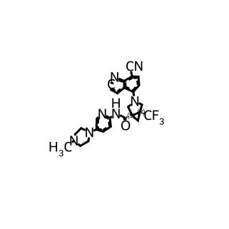 CN1CCN(c2ccc(NC(=O)[C@]34CN(c5ccc(C#N)c6ncccc56)C[C@@]3(C(F)(F)F)C4)nc2)CC1